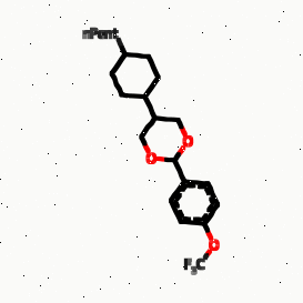 CCCCCC1CCC(C2COC(c3ccc(OC(F)(F)F)cc3)OC2)CC1